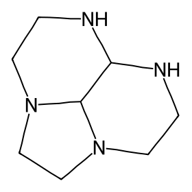 C1CN2CCN3CCNC(N1)C23